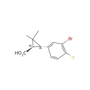 CC1(C)[C@H](C(=O)O)[C@H]1c1ccc(F)c(Br)c1